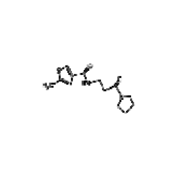 Cc1cc(C(=O)NCCC(=O)N2CCCC2)cs1